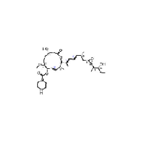 CC[C@@H](O)[C@@H](C)[C@H]1O[C@@H]1C[C@@H](C)/C=C/C=C(\C)[C@H]1OC(=O)C[C@@H](O)CC[C@](C)(OC)C(OC(=O)N2CCNCC2)/C=C/[C@@H]1C